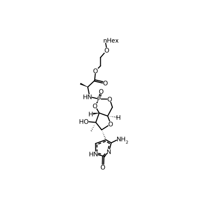 CCCCCCOCCOC(=O)[C@H](C)NP1(=O)OC[C@H]2O[C@H](c3c[nH]c(=O)nc3N)[C@@](C)(O)[C@@H]2O1